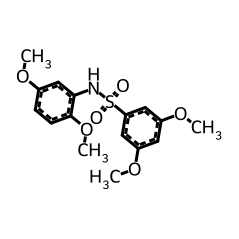 COc1cc(OC)cc(S(=O)(=O)Nc2cc(OC)ccc2OC)c1